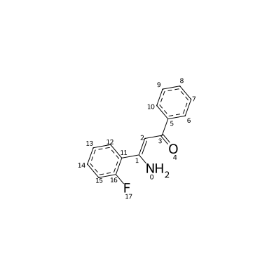 N/C(=C\C(=O)c1ccccc1)c1ccccc1F